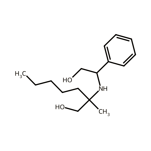 CCCCCC(C)(CO)NC(CO)c1ccccc1